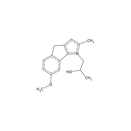 COc1ccc2c(c1)-c1c(cc(C)n1CC(C)O)C2